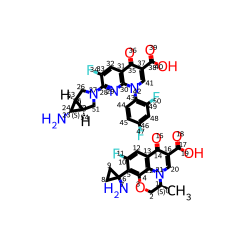 C[C@H]1COc2c(C3(N)CC3)c(F)cc3c(=O)c(C(=O)O)cn1c23.N[C@@H]1[C@H]2CN(c3nc4c(cc3F)c(=O)c(C(=O)O)cn4-c3ccc(F)cc3F)C[C@@H]12